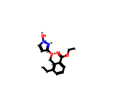 CCOC(=O)c1cccc(CC)c1COc1ccn(O)n1